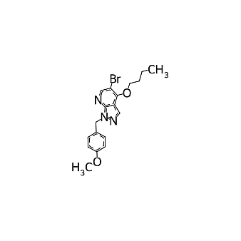 CCCCOc1c(Br)cnc2c1cnn2Cc1ccc(OC)cc1